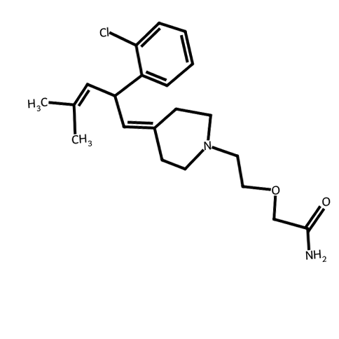 CC(C)=CC(C=C1CCN(CCOCC(N)=O)CC1)c1ccccc1Cl